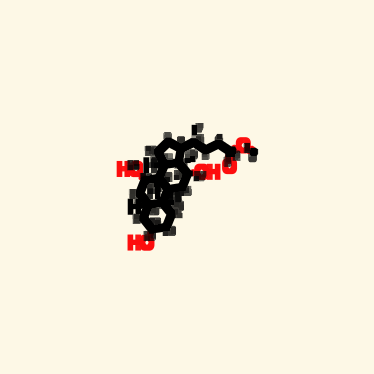 COC(=O)CC[C@@H](C)C1CC[C@H]2[C@@H]3[C@H](O)C[C@@H]4C[C@H](O)CC[C@]4(C)[C@H]3C[C@H](O)[C@]12C